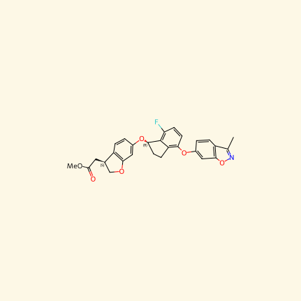 COC(=O)C[C@@H]1COc2cc(O[C@@H]3CCc4c(Oc5ccc6c(C)noc6c5)ccc(F)c43)ccc21